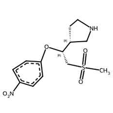 CS(=O)(=O)C[C@H](Oc1ccc([N+](=O)[O-])cc1)[C@@H]1CCNC1